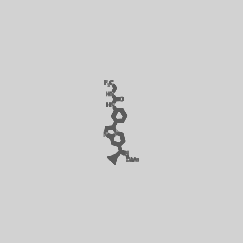 CON=C(c1ccn2c(-c3cccc(NC(=O)NCC(F)(F)F)c3)cnc2c1)C1CC1